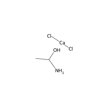 CC(N)O.[Cl][Ca][Cl]